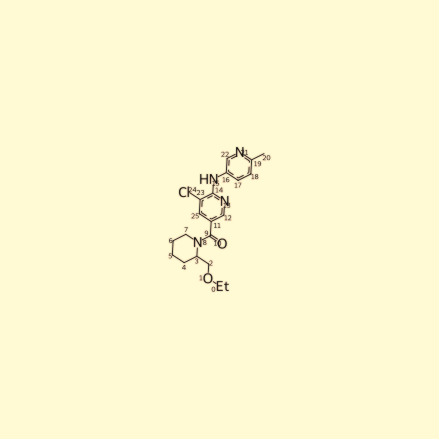 CCOCC1CCCCN1C(=O)c1cnc(Nc2ccc(C)nc2)c(Cl)c1